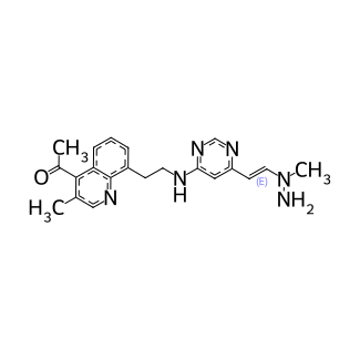 CC(=O)c1c(C)cnc2c(CCNc3cc(/C=C/N(C)N)ncn3)cccc12